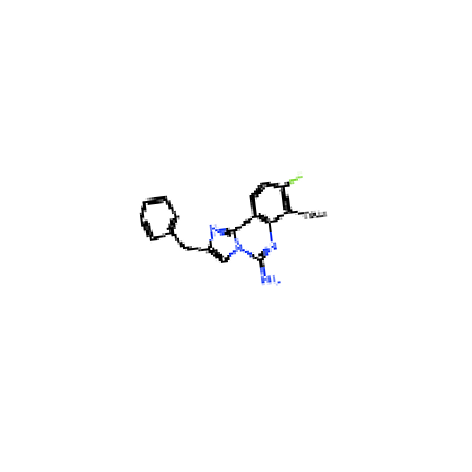 COc1c(F)ccc2c1nc(N)n1cc(Cc3ccccc3)nc21